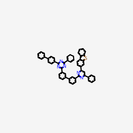 C1=CC(c2nc(-c3ccc(-c4ccccc4)cc3)nc(-c3cccc(-c4cccc(-c5nc(-c6ccccc6)cc(-c6ccc7c(c6)sc6ccccc67)n5)c4)c3)n2)=CCC1